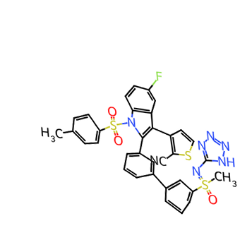 Cc1ccc(S(=O)(=O)n2c(-c3cccc(-c4cccc(S(C)(=O)=Nc5nnn[nH]5)c4)c3)c(-c3ccsc3C#N)c3cc(F)ccc32)cc1